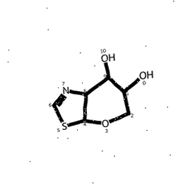 OC1COC2SC=NC2C1O